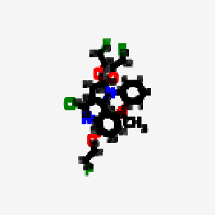 COc1ccccc1N1c2c(c(Cl)nc3c(OCCF)cccc23)CC1(OCCF)OCCF